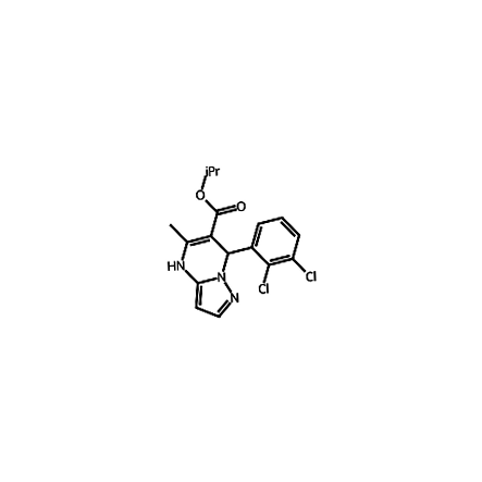 CC1=C(C(=O)OC(C)C)C(c2cccc(Cl)c2Cl)n2nccc2N1